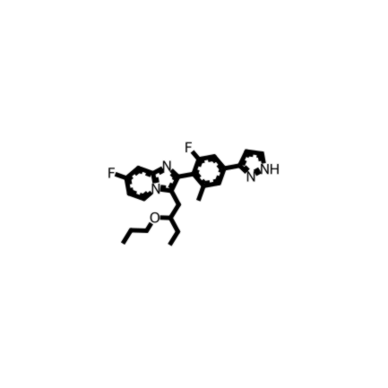 CCCOC(CC)Cc1c(-c2c(C)cc(-c3cc[nH]n3)cc2F)nc2cc(F)ccn12